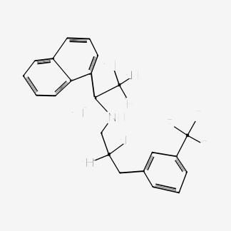 [2H]C([2H])(CN[C@@]([2H])(c1cccc2ccccc12)C([2H])([2H])[2H])Cc1cccc(C(F)(F)F)c1